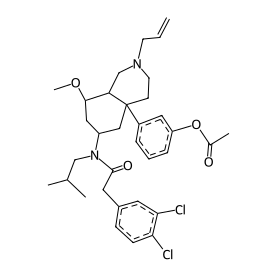 C=CCN1CCC2(c3cccc(OC(C)=O)c3)CC(N(CC(C)C)C(=O)Cc3ccc(Cl)c(Cl)c3)CC(OC)C2C1